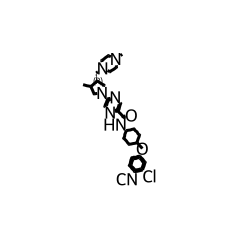 CC1CN(c2cnc(C(=O)NC3CCC(Oc4ccc(C#N)c(Cl)c4)CC3)cn2)C[C@H]1CN1CCN(C)CC1